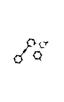 O=C1N[C@H](c2cccc(C#Cc3ccccc3)n2)[C@@H](c2cccc(F)c2)O1